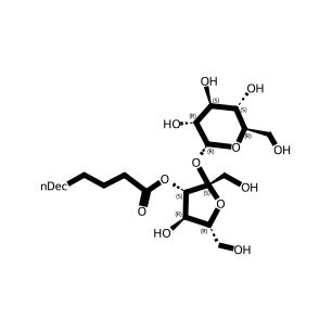 CCCCCCCCCCCCCC(=O)O[C@H]1[C@H](O)[C@@H](CO)O[C@@]1(CO)O[C@H]1O[C@H](CO)[C@@H](O)[C@H](O)[C@H]1O